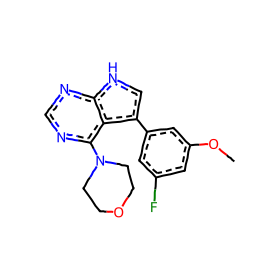 COc1cc(F)cc(-c2c[nH]c3ncnc(N4CCOCC4)c23)c1